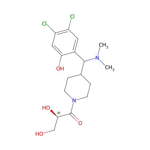 CN(C)C(c1cc(Cl)c(Cl)cc1O)C1CCN(C(=O)[C@H](O)CO)CC1